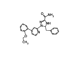 CCOc1ccccc1-c1ccnc(N2N=C(C(N)=O)NC2Cc2ccccc2)c1